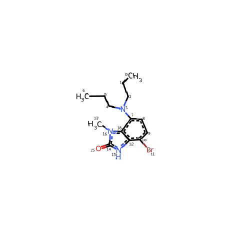 CCCN(CCC)c1ccc(Br)c2[nH]c(=O)n(C)c12